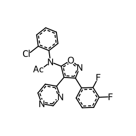 CC(=O)N(c1ccccc1Cl)c1onc(-c2cccc(F)c2F)c1-c1ccncn1